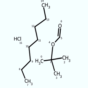 CC(C)(C)OC=O.CCCCCCCC.Cl